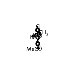 COC(=O)c1ccc(OCC2CC(Cn3cncn3)(c3ccc(Cl)cc3)N(C)O2)cc1